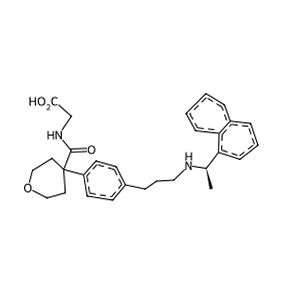 C[C@@H](NCCCc1ccc(C2(C(=O)NCC(=O)O)CCOCC2)cc1)c1cccc2ccccc12